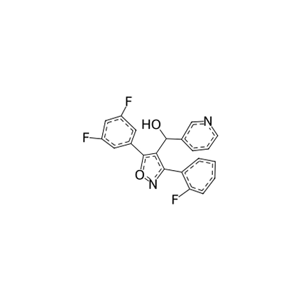 OC(c1cccnc1)c1c(-c2ccccc2F)noc1-c1cc(F)cc(F)c1